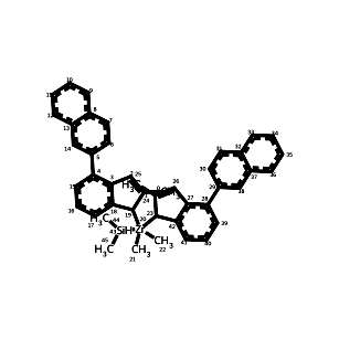 CC1=Cc2c(-c3ccc4ccccc4c3)cccc2[CH]1[Zr]([CH3])([CH3])([CH]1C(C)=Cc2c(-c3ccc4ccccc4c3)cccc21)[SiH](C)C